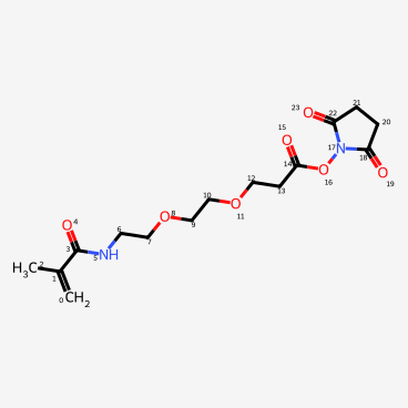 C=C(C)C(=O)NCCOCCOCCC(=O)ON1C(=O)CCC1=O